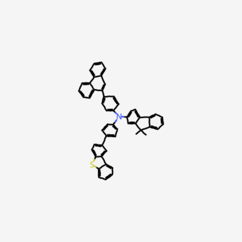 CC1(C)c2ccccc2-c2ccc(N(c3ccc(-c4ccc5sc6ccccc6c5c4)cc3)c3ccc(-c4cc5ccccc5c5ccccc45)cc3)cc21